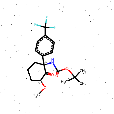 CO[C@H]1CCC[C@](NC(=O)OC(C)(C)C)(c2ccc(C(F)(F)F)cc2)C1=O